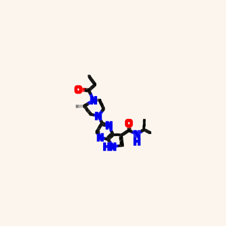 CCC(=O)N1CCN(c2cnc3[nH]cc(C(=O)NC(C)C)c3n2)C[C@@H]1C